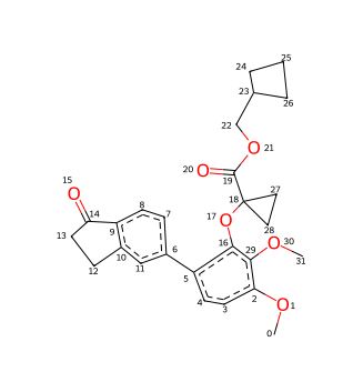 COc1ccc(-c2ccc3c(c2)CCC3=O)c(OC2(C(=O)OCC3CCC3)CC2)c1OC